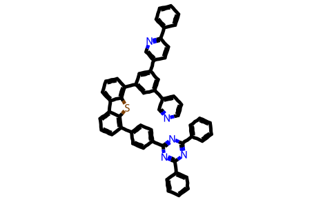 c1ccc(-c2ccc(-c3cc(-c4cccnc4)cc(-c4cccc5c4sc4c(-c6ccc(-c7nc(-c8ccccc8)nc(-c8ccccc8)n7)cc6)cccc45)c3)cn2)cc1